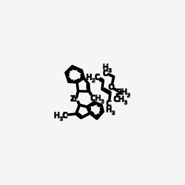 C=CC=CC.CC1=Cc2ccccc2[CH]1[Zr][CH]1C(C)=Cc2ccccc21.CCO[SiH2]C